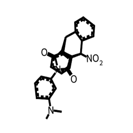 CN(C)c1cccc(N2C(=O)C3=C(C2=O)C2([N+](=O)[O-])c4ccccc4C3c3ccccc32)c1